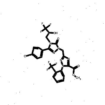 COC(=O)c1nc(Cn2nc(-c3ccc(Cl)cc3)n(CC(O)C(F)(F)F)c2=O)nn1-c1ccccc1C(F)(F)F